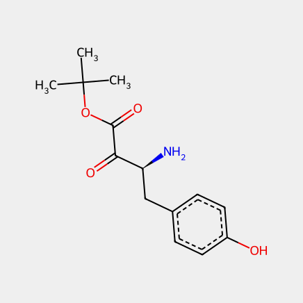 CC(C)(C)OC(=O)C(=O)[C@@H](N)Cc1ccc(O)cc1